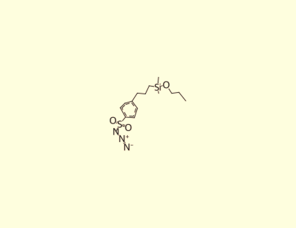 CCCO[Si](C)(C)CCCc1ccc(S(=O)(=O)N=[N+]=[N-])cc1